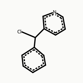 ClC(c1ccccc1)c1cccnc1